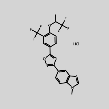 CC(Oc1ccc(-c2nc(-c3ccc4c(c3)ncn4C)no2)cc1C(F)(F)F)C(F)(F)F.Cl